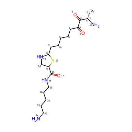 CC(C)[C@H](N)C(=O)C(=O)CCCCCC1NCC(C(=O)NCCCCCN)S1